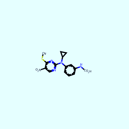 N#CSc1nc(N(c2cccc(NC(=O)O)c2)C2CC2)ncc1[N+](=O)[O-]